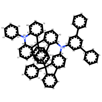 c1ccc(-c2cc(-c3ccccc3)cc(N(c3ccc4c(c3)C(c3ccccc3)(c3ccccc3)c3ccccc3-4)c3cccc4c3-c3ccccc3C43c4ccccc4N(c4ccccc4)c4ccccc43)c2)cc1